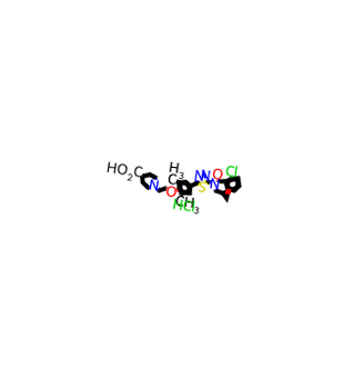 Cc1cc(-c2nnc(N(CC3CC3)C(=O)c3ccccc3Cl)s2)cc(C)c1OCCN1CCC(C(=O)O)CC1.Cl